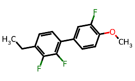 CCc1ccc(-c2ccc(OC)c(F)c2)c(F)c1F